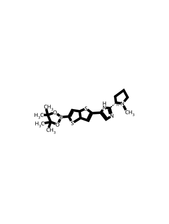 CN1CCC[C@H]1c1ncc(C2=CC3SC(B4OC(C)(C)C(C)(C)O4)=CC3S2)[nH]1